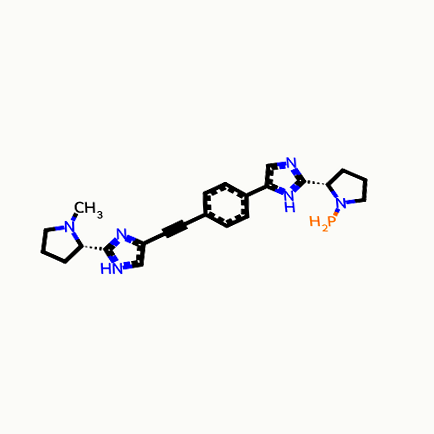 CN1CCC[C@H]1c1nc(C#Cc2ccc(-c3cnc([C@@H]4CCCN4P)[nH]3)cc2)c[nH]1